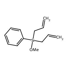 C=CC[Si](CC=C)(OC)c1ccccc1